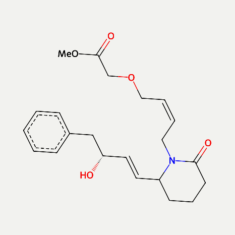 COC(=O)COC/C=C\CN1C(=O)CCCC1/C=C/[C@H](O)Cc1ccccc1